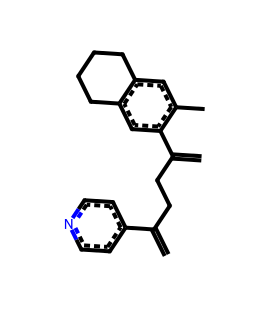 C=C(CCC(=C)c1cc2c(cc1C)CCCC2)c1ccncc1